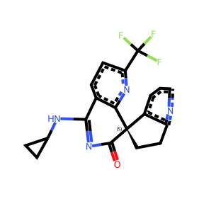 O=C1N=C(NC2CC2)c2ccc(C(F)(F)F)nc2[C@@]12CCc1ncccc12